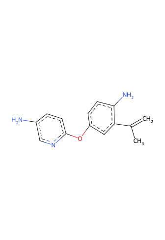 C=C(C)c1cc(Oc2ccc(N)cn2)ccc1N